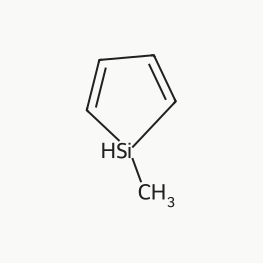 C[SiH]1C=CC=C1